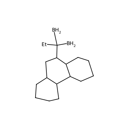 BC(B)(CC)C1CC2CCCCC2C2CCCCC21